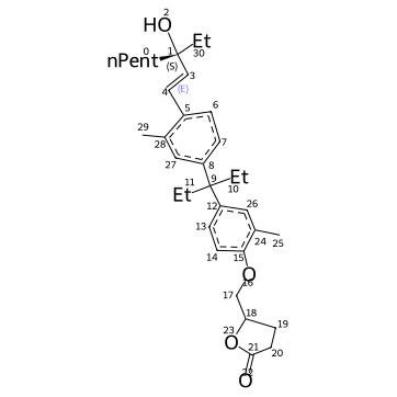 CCCCC[C@](O)(/C=C/c1ccc(C(CC)(CC)c2ccc(OCC3CCC(=O)O3)c(C)c2)cc1C)CC